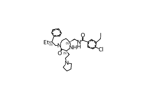 CC[C@H](CN1CC[C@@H](CNC(=O)c2ccc(Cl)c(CI)c2)N[C@@H](CCN2CCCC2)C1=O)c1ccccc1